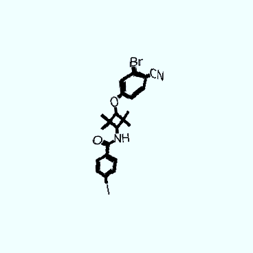 CC1(C)C(NC(=O)c2ccc(I)cc2)C(C)(C)C1Oc1ccc(C#N)c(Br)c1